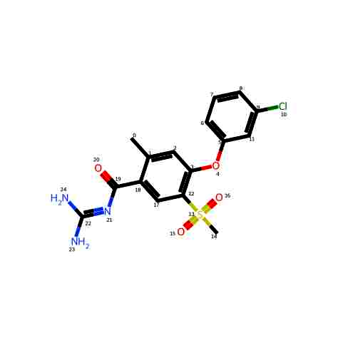 Cc1cc(Oc2cccc(Cl)c2)c(S(C)(=O)=O)cc1C(=O)N=C(N)N